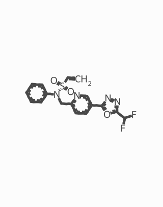 C=CS(=O)(=O)N(Cc1ccc(-c2nnc(C(F)F)o2)cn1)c1ccccc1